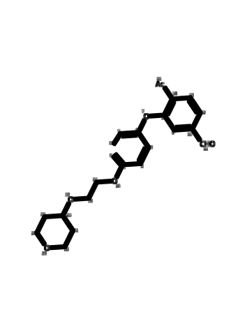 C=C(/C=C\C(=C/C)Oc1cc(C=O)ccc1C(C)=O)OCCOC1CCOCC1